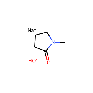 CN1CCCC1=O.[Na+].[OH-]